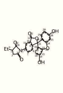 CCC1CC(=O)N(c2ccc3c(c2)C(=O)OC32c3ccc(O)cc3Oc3cc(O)ccc32)C1=O